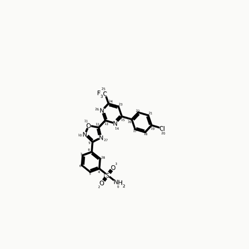 NS(=O)(=O)c1cccc(-c2noc(-c3nc(-c4ccc(Cl)cc4)cc(C(F)(F)F)n3)n2)c1